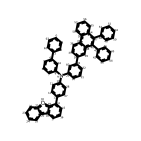 c1ccc(-c2cccc(N(c3ccc(-c4cccc5c4oc4ccccc45)cc3)c3cccc(-c4ccc5c(c4)c(-c4ccccc4)c(-c4ccccc4)c4ccccc45)c3)c2)cc1